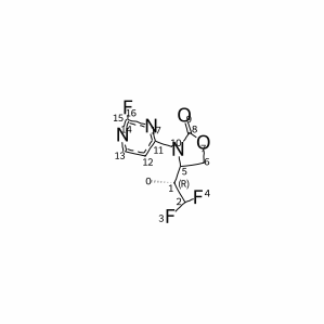 C[C@@H](C(F)F)C1COC(=O)N1c1ccnc(F)n1